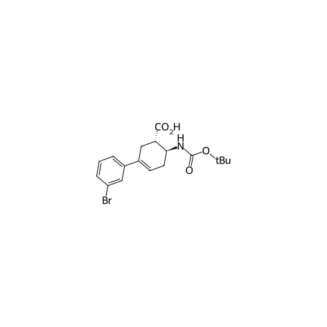 CC(C)(C)OC(=O)N[C@H]1CC=C(c2cccc(Br)c2)C[C@@H]1C(=O)O